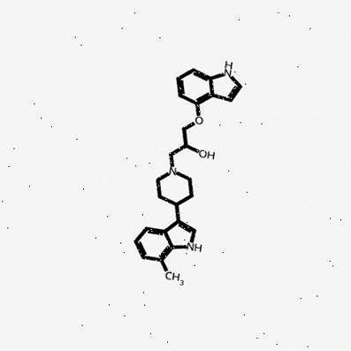 Cc1cccc2c(C3CCN(CC(O)COc4cccc5[nH]ccc45)CC3)c[nH]c12